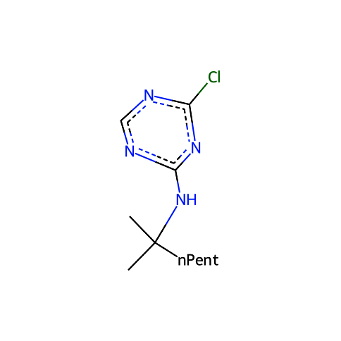 CCCCCC(C)(C)Nc1ncnc(Cl)n1